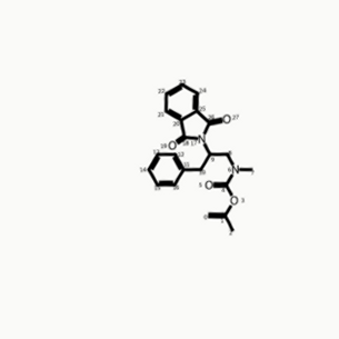 C=C(C)OC(=O)N(C)CC(Cc1ccccc1)N1C(=O)c2ccccc2C1=O